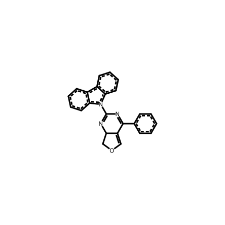 C1=C2C(c3ccccc3)=NC(n3c4ccccc4c4ccccc43)=NC2CO1